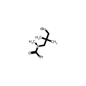 CC(C)C(=O)N(C)CC(C)(C)CC(C)(C)C